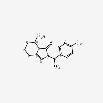 CC(c1ccc(C(F)(F)F)nc1)n1nc2n(c1=O)C(C(=O)O)CCC2